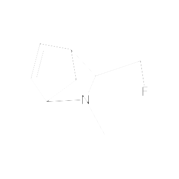 CN1C2C=CC(C2)C1CF